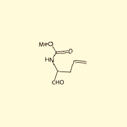 C=CCC(C=O)NC(=O)OC